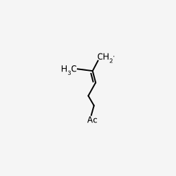 [CH2]/C(C)=C/CCC(C)=O